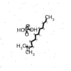 CCCCCCCCCCN(C)C.O=S(=O)(O)O